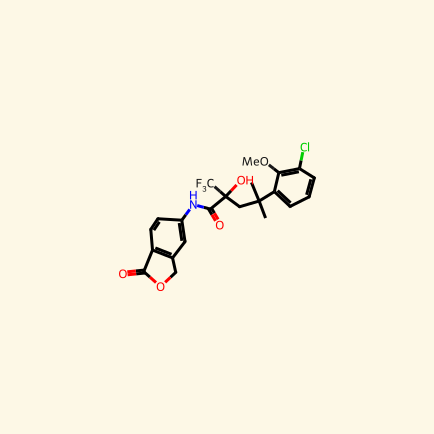 COc1c(Cl)cccc1C(C)(C)CC(O)(C(=O)Nc1ccc2c(c1)COC2=O)C(F)(F)F